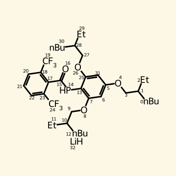 CCCCC(CC)COc1cc(OCC(CC)CCCC)c(PC(=O)c2c(C(F)(F)F)cccc2C(F)(F)F)c(OCC(CC)CCCC)c1.[LiH]